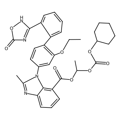 CCOc1cc(-n2c(C)nc3cccc(C(=O)OC(C)OC(=O)OC4CCCCC4)c32)ccc1-c1ccccc1-c1nc(=O)o[nH]1